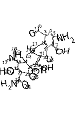 CC(=O)c1cc(N)c(O)c2c1C[C@H]1C[C@H]3[C@H](N(C)C)C(O)=C(C(N)=O)C(=O)[C@@]3(O)C(O)=C1C2=O